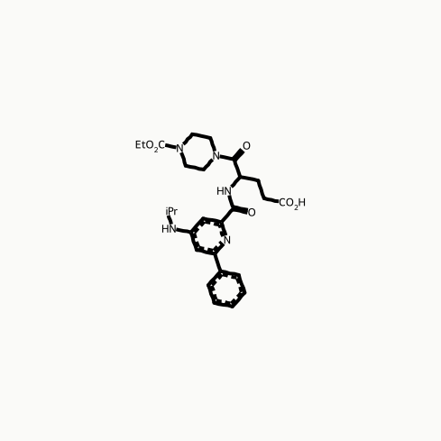 CCOC(=O)N1CCN(C(=O)C(CCC(=O)O)NC(=O)c2cc(NC(C)C)cc(-c3ccccc3)n2)CC1